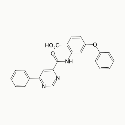 O=C(Nc1cc(Oc2ccccc2)ccc1C(=O)O)c1cc(-c2ccccc2)ncn1